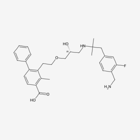 Cc1c(C(=O)O)ccc(-c2ccccc2)c1CCOC[C@H](O)CNC(C)(C)Cc1ccc(CN)c(F)c1